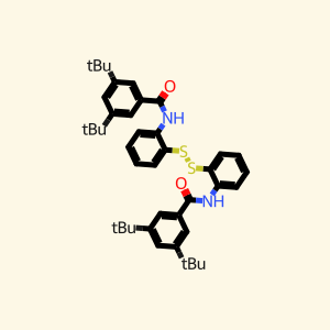 CC(C)(C)c1cc(C(=O)Nc2ccccc2SSc2ccccc2NC(=O)c2cc(C(C)(C)C)cc(C(C)(C)C)c2)cc(C(C)(C)C)c1